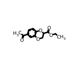 CCOC(=O)C1COc2cc(C(C)=O)ccc2O1